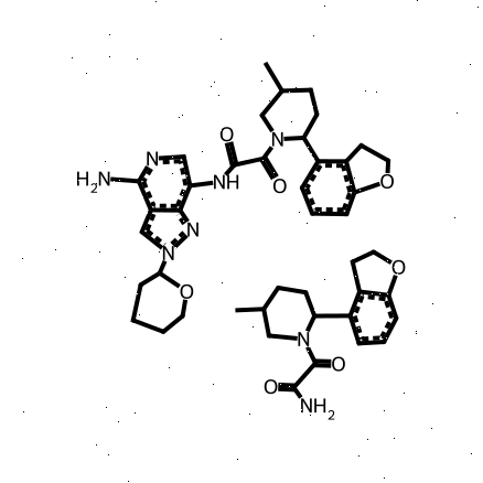 CC1CCC(c2cccc3c2CCO3)N(C(=O)C(=O)Nc2cnc(N)c3cn(C4CCCCO4)nc23)C1.CC1CCC(c2cccc3c2CCO3)N(C(=O)C(N)=O)C1